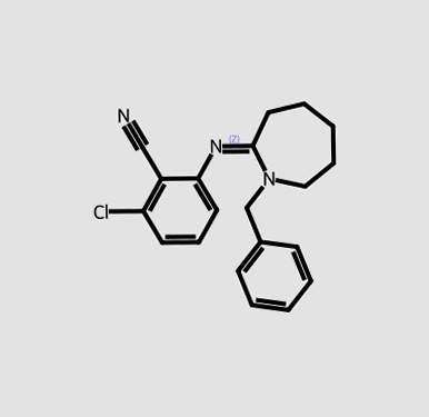 N#Cc1c(Cl)cccc1/N=C1/CCCCCN1Cc1ccccc1